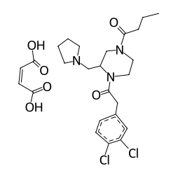 CCCC(=O)N1CCN(C(=O)Cc2ccc(Cl)c(Cl)c2)C(CN2CCCC2)C1.O=C(O)/C=C\C(=O)O